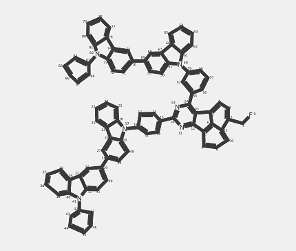 FCc1ccc2c3c(cccc13)-c1nc(-c3ccc(-n4c5ccccc5c5cc(-c6ccc7c(c6)c6ccccc6n7-c6ccccc6)ccc54)cc3)nc(-c3cccc(-n4c5ccccc5c5cc(-c6ccc7c(c6)c6ccccc6n7-c6ccccc6)ccc54)c3)c1-2